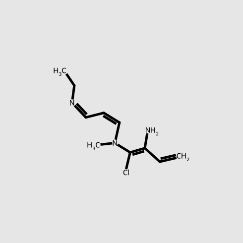 C=C/C(N)=C(\Cl)N(C)/C=C\C=N/CC